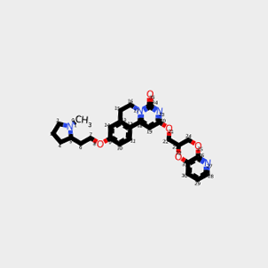 CN1CCCC1CCOc1ccc2c(c1)CCn1c-2cc(OCC2COc3ncccc3O2)nc1=O